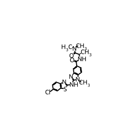 C[C@@H](NC(=O)c1ccc2c(c1)nc(Nc1nc3ccc(Cl)cc3s1)n2C)C(=O)N(C)C